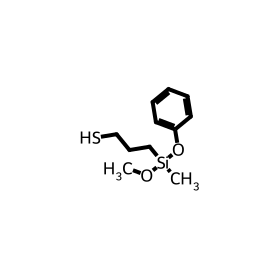 CO[Si](C)(CCCS)Oc1ccccc1